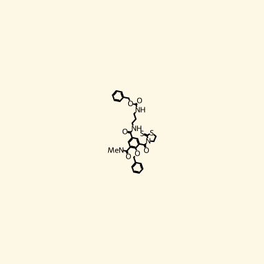 CNC(=O)c1cc(C(=O)NCCCNC(=O)OCc2ccccc2)cc(C(=O)N2CCSC2=S)c1OCc1ccccc1